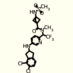 CN(C(=O)C12CC(NS(C)(=O)=O)(C1)C2)C(c1ccc(NC2Cc3ccc(Cl)c(Cl)c3C2)cn1)C(F)(F)F